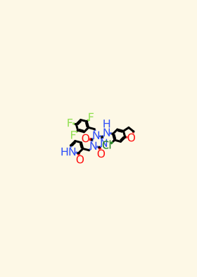 O=c1[nH]cccc1Cn1c(=O)nc(Nc2cc3c(cc2Cl)OCC3)n(Cc2cc(F)c(F)cc2F)c1=O